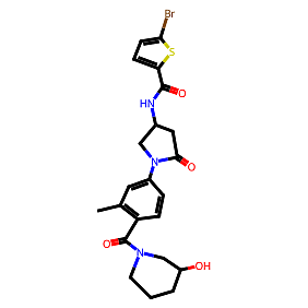 Cc1cc(N2CC(NC(=O)c3ccc(Br)s3)CC2=O)ccc1C(=O)N1CCCC(O)C1